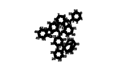 c1ccc(-n2c3ccccc3c3c(N(c4ccc5c(c4)C4(c6ccccc6-5)C5CC6CC(C5)CC4C6)c4cccc5c4sc4ccccc45)cccc32)cc1